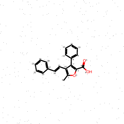 Cc1oc(C(=O)O)c(-c2ccccc2)c1C=Cc1ccccc1